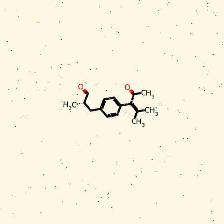 CC(=O)C(=C(C)C)c1ccc(C[C@H](C)C=O)cc1